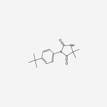 CC1(C)NC(=O)N(c2ccc(C(C)(C)C)cc2)C1=O